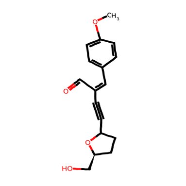 COc1ccc(C=C(C#CC2CC[C@@H](CO)O2)C=O)cc1